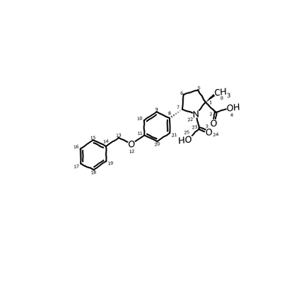 C[C@]1(C(=O)O)CC[C@@H](c2ccc(OCc3ccccc3)cc2)N1C(=O)O